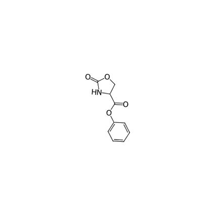 O=C1NC(C(=O)Oc2ccccc2)CO1